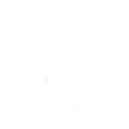 CC(C)(C)[Si](C)(C)O[C@H]1[CH]NC(c2cc(F)ccc2F)C1